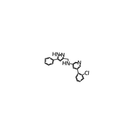 Clc1ccccc1-c1cncc(NCc2cc(-c3ccccc3)[nH]n2)c1